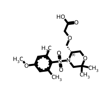 COc1cc(C)c(S(=O)(=O)N2CC(C)(C)OC[C@H]2COCC(=O)O)c(C)c1